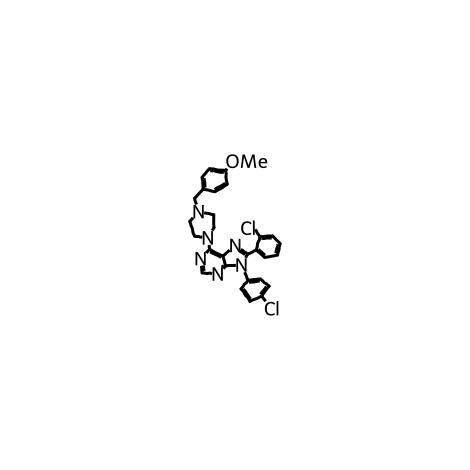 COc1ccc(CN2CCN(c3ncnc4c3nc(-c3ccccc3Cl)n4-c3ccc(Cl)cc3)CC2)cc1